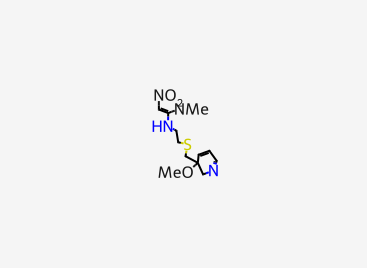 CN/C(=C\[N+](=O)[O-])NCCSCC1(OC)C=CC=NC1